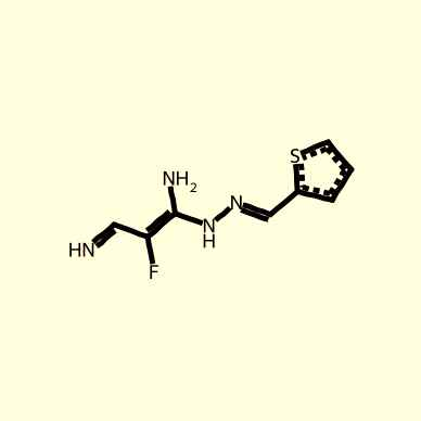 N=C/C(F)=C(\N)N/N=C/c1cccs1